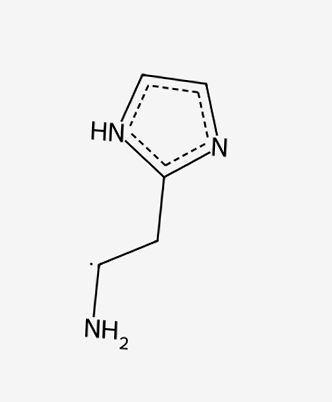 N[CH]Cc1ncc[nH]1